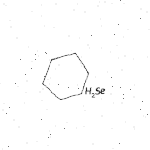 C1CCCCC1.[SeH2]